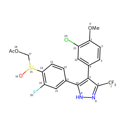 COc1ccc(-c2c(C(F)(F)F)n[nH]c2-c2ccc([S+]([O-])COC(C)=O)c(F)c2)cc1Cl